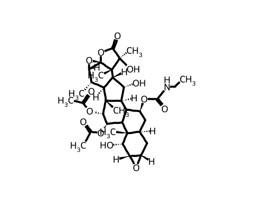 CCNC(=O)O[C@H]1C[C@H]2C[C@@H]3O[C@@H]3[C@H](O)[C@]2(C)C2C1[C@@H]1[C@@H](O)[C@@H]3[C@H]([C@H](C)[C@H]4O[C@]45OC(=O)[C@@](C)(O)[C@]35C)[C@@]1(C)[C@@H](OC(C)=O)[C@H]2OC(C)=O